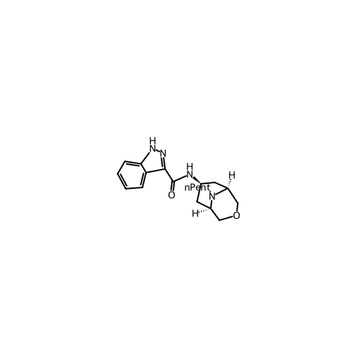 CCCCCN1[C@@H]2COC[C@H]1C[C@@H](NC(=O)c1n[nH]c3ccccc13)C2